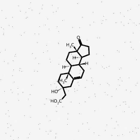 C[C@]12CC[C@](O)(CC(=O)O)CC1=CC[C@@H]1[C@@H]2CC[C@]2(C)C(=O)CC[C@@H]12